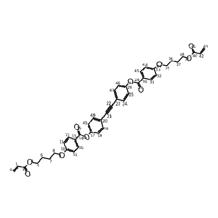 C=CC(=O)OCCCCOc1ccc(C(=O)Oc2ccc(C#Cc3ccc(OC(=O)c4ccc(OCCCCOC(=O)C=C)cc4)cc3)cc2)cc1